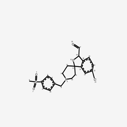 CS(=O)(=O)c1ccc(CN2CCC3(CC2)OC(C=O)c2ccc(Cl)cc23)cc1